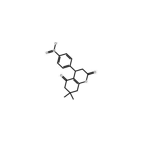 CC1(C)CC(=O)C2=C(C1)OC(=O)CC2c1ccc([N+](=O)[O-])cc1